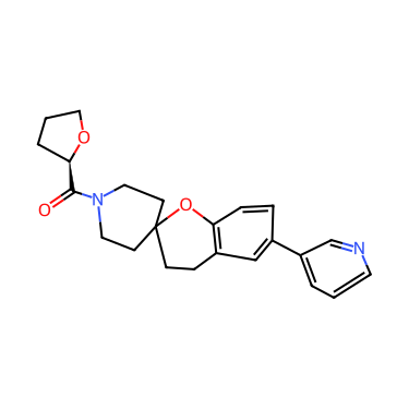 O=C([C@H]1CCCO1)N1CCC2(CCc3cc(-c4cccnc4)ccc3O2)CC1